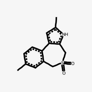 Cc1ccc2c(c1)CS(=O)(=O)Cc1[nH]c(C)cc1-2